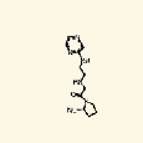 N#C[C@@H]1CCCN1C(=O)CNCCNc1cnccn1